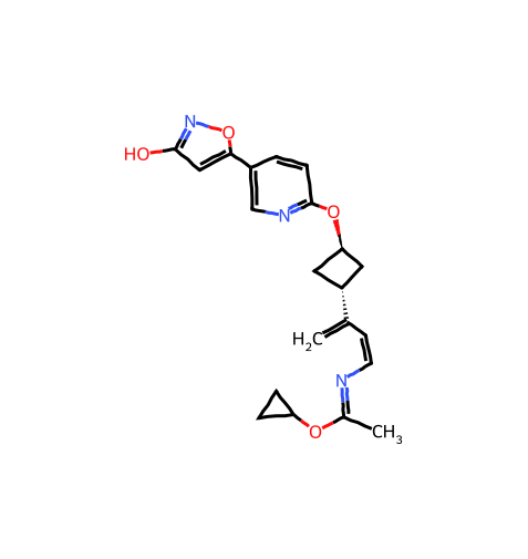 C=C(/C=C\N=C(/C)OC1CC1)[C@H]1C[C@H](Oc2ccc(-c3cc(O)no3)cn2)C1